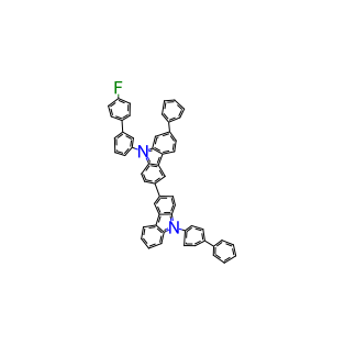 Fc1ccc(-c2cccc(-n3c4ccc(-c5ccc6c(c5)c5ccccc5n6-c5ccc(-c6ccccc6)cc5)cc4c4ccc(-c5ccccc5)cc43)c2)cc1